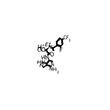 CCN(C(=O)C(=O)Nc1cnc(N)c2cn[nH]c12)C(C)c1ccc(C(F)(F)F)cc1F.[Cl-].[H+]